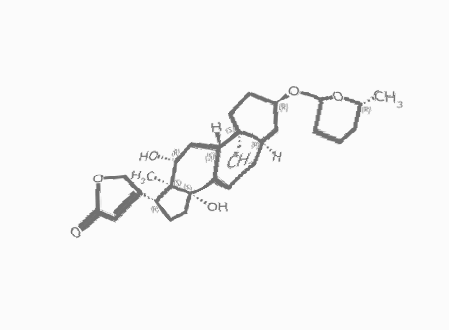 C[C@@H]1CCCC(O[C@@H]2CC[C@@]3(C)[C@H](CCC4[C@@H]3C[C@@H](O)[C@]3(C)[C@@H](C5=CC(=O)OC5)CC[C@]43O)C2)O1